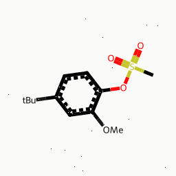 COc1cc(C(C)(C)C)ccc1OS(C)(=O)=O